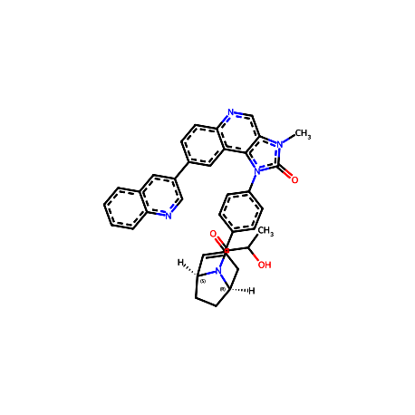 CC(O)C(=O)N1[C@@H]2CC[C@H]1C=C(c1ccc(-n3c(=O)n(C)c4cnc5ccc(-c6cnc7ccccc7c6)cc5c43)cc1)C2